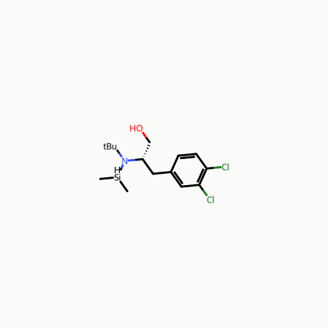 C[SiH](C)N([C@H](CO)Cc1ccc(Cl)c(Cl)c1)C(C)(C)C